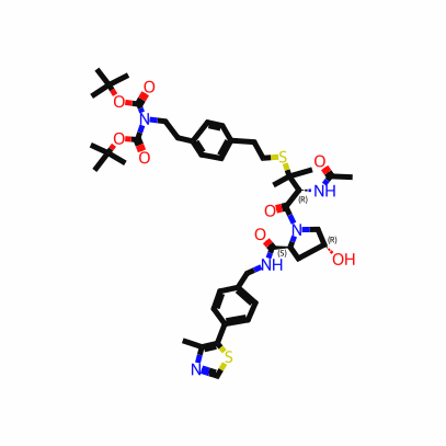 CC(=O)N[C@H](C(=O)N1C[C@H](O)C[C@H]1C(=O)NCc1ccc(-c2scnc2C)cc1)C(C)(C)SCCc1ccc(CCN(C(=O)OC(C)(C)C)C(=O)OC(C)(C)C)cc1